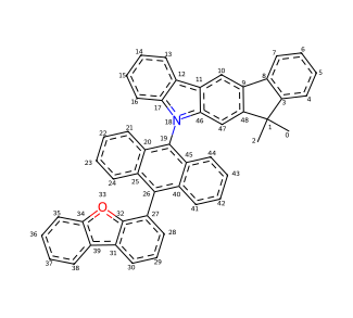 CC1(C)c2ccccc2-c2cc3c4ccccc4n(-c4c5ccccc5c(-c5cccc6c5oc5ccccc56)c5ccccc45)c3cc21